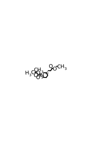 CCOC(=O)CC[C@@H]1CCCN(C(=O)OC(C)(C)C)C1